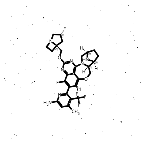 Cc1cc(N)nc(-c2c(Cl)c3c4c(nc(OC[C@@]56CCN5C[C@H](F)C6)nc4c2F)N2C[C@H]4CC[C@H](N4)[C@H]2CO3)c1C(F)(F)F